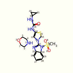 C1COCCN1.CS(=O)(=O)n1c(N2C=C(NC(=O)NC3CC3)SC2)nc2ccccc21